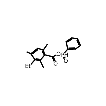 CCc1c(C)cc(C)c(C(=O)O[PH](=O)c2ccccc2)c1C